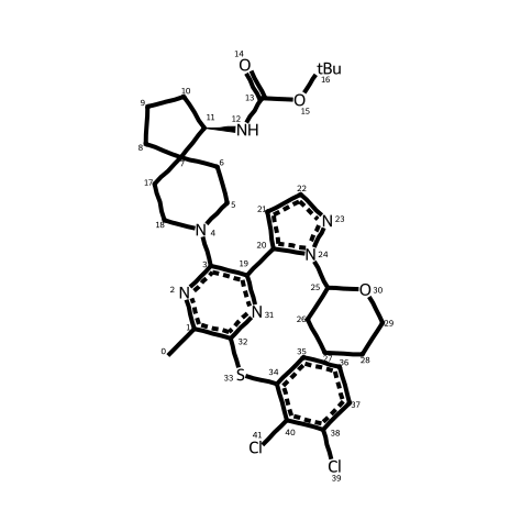 Cc1nc(N2CCC3(CCC[C@H]3NC(=O)OC(C)(C)C)CC2)c(-c2ccnn2C2CCCCO2)nc1Sc1cccc(Cl)c1Cl